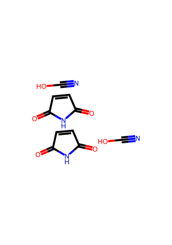 N#CO.N#CO.O=C1C=CC(=O)N1.O=C1C=CC(=O)N1